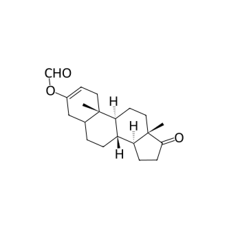 C[C@]12CC=C(OC=O)CC1CC[C@@H]1[C@@H]2CC[C@]2(C)C(=O)CC[C@@H]12